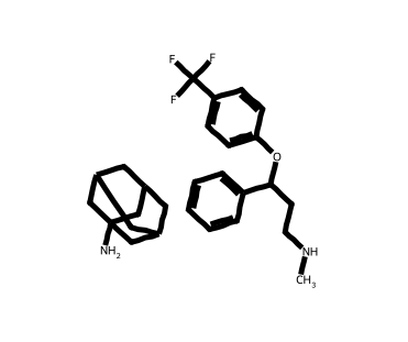 CNCCC(Oc1ccc(C(F)(F)F)cc1)c1ccccc1.NC12CC3CC(CC(C3)C1)C2